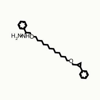 NNC(COCCCCCCCCCCCCOCC1CC1c1ccccc1)c1ccccc1